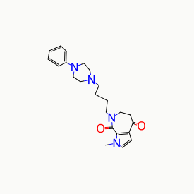 Cn1ccc2c1C(=O)N(CCCCN1CCN(c3ccccc3)CC1)CCC2=O